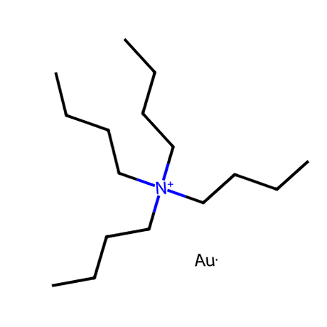 CCCC[N+](CCCC)(CCCC)CCCC.[Au]